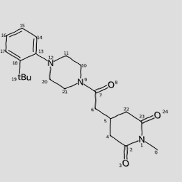 CN1C(=O)CC(CC(=O)N2CCN(c3ccccc3C(C)(C)C)CC2)CC1=O